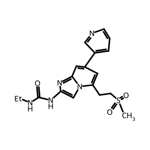 CCNC(=O)Nc1cn2c(CCS(C)(=O)=O)cc(-c3cccnc3)cc2n1